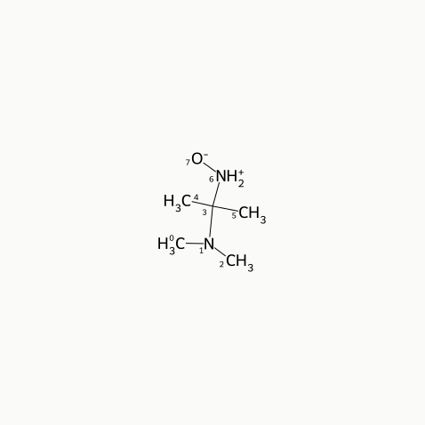 CN(C)C(C)(C)[NH2+][O-]